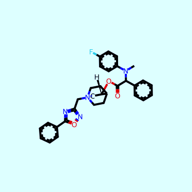 CN(c1ccc(F)cc1)C(C(=O)O[C@H]1C[N+]2(Cc3noc(-c4ccccc4)n3)CCC1CC2)c1ccccc1